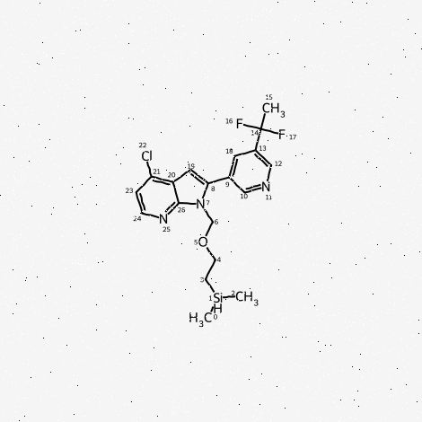 C[SiH](C)CCOCn1c(-c2cncc(C(C)(F)F)c2)cc2c(Cl)ccnc21